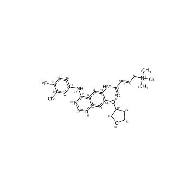 C[N+](C)([O-])C/C=C/C(=O)Nc1cc2c(Nc3ccc(F)c(Cl)c3)ncnc2cc1OC1CCOC1